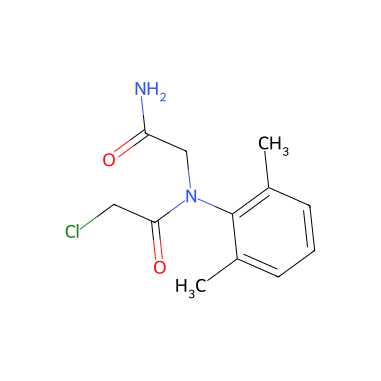 Cc1cccc(C)c1N(CC(N)=O)C(=O)CCl